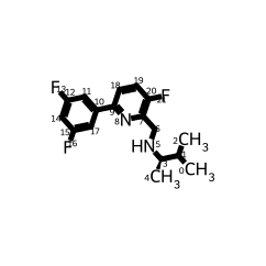 CC(C)[C@@H](C)NCc1nc(-c2cc(F)cc(F)c2)ccc1F